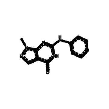 Cn1ncc2c(=O)[nH]c(Nc3ccccc3)nc21